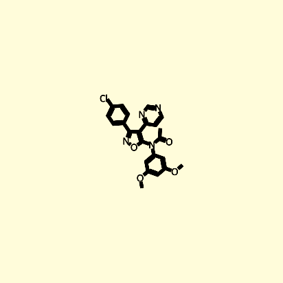 COc1cc(OC)cc(N(C(C)=O)c2onc(-c3ccc(Cl)cc3)c2-c2ccncn2)c1